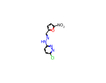 O=[N+]([O-])c1ccc(C=NNc2ccc(Cl)nn2)o1